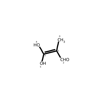 CC(C=O)=C(O)O